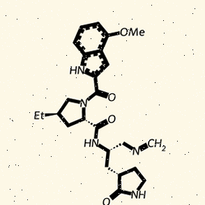 C=NC[C@H](C[C@@H]1CCNC1=O)NC(=O)[C@@H]1C[C@@H](CC)CN1C(=O)c1cc2c(OC)cccc2[nH]1